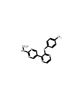 O=C(O)Nc1ncc(-c2nccnc2Sc2ccc(C(F)(F)F)cc2)cn1